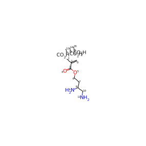 C=C(C)C(=O)OCCC(N)CN.CC(=O)O.CC(=O)O.CC(=O)O